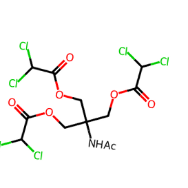 CC(=O)NC(COC(=O)C(Cl)Cl)(COC(=O)C(Cl)Cl)COC(=O)C(Cl)Cl